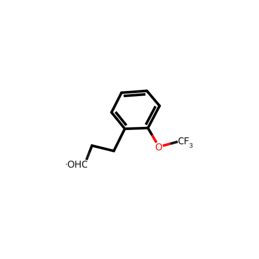 O=[C]CCc1ccccc1OC(F)(F)F